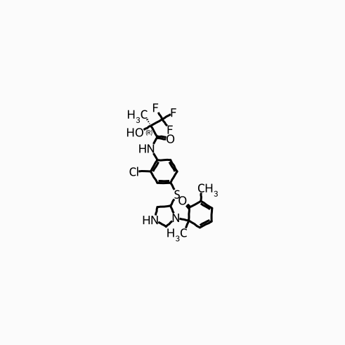 CC1=CC=CC(C)(N2CNCC2Sc2ccc(NC(=O)[C@@](C)(O)C(F)(F)F)c(Cl)c2)C1=O